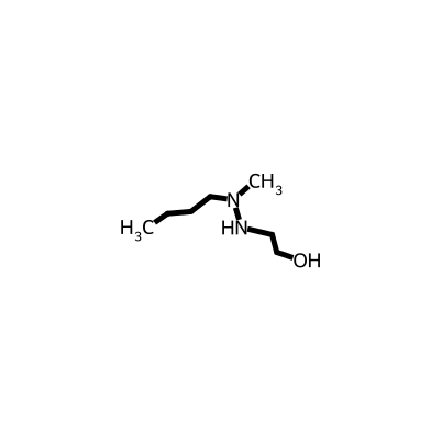 CCCCN(C)NCCO